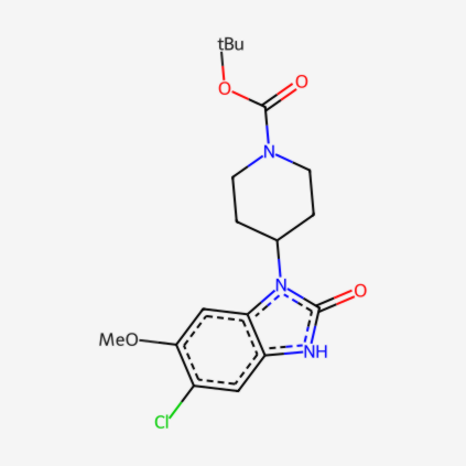 COc1cc2c(cc1Cl)[nH]c(=O)n2C1CCN(C(=O)OC(C)(C)C)CC1